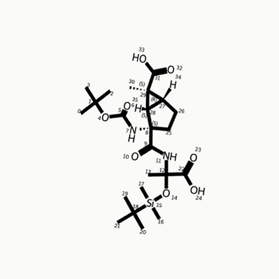 CC(C)(C)OC(=O)N[C@@]1(C(=O)NC(C)(O[Si](C)(C)C(C)(C)C)C(=O)O)CC[C@@H]2[C@H]1[C@@]2(C)C(=O)O